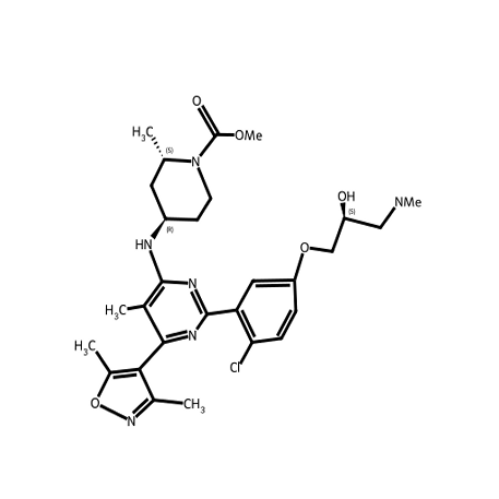 CNC[C@H](O)COc1ccc(Cl)c(-c2nc(N[C@@H]3CCN(C(=O)OC)[C@@H](C)C3)c(C)c(-c3c(C)noc3C)n2)c1